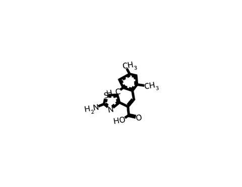 Cc1cc(C)c(C=C(C(=O)O)c2csc(N)n2)c(C)c1